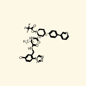 C[C@H](NC(=O)[C@H]1C[C@@H](c2ccc(-c3cccnc3)cc2)CCN1OC(=O)C(F)(F)F)C(=O)NCc1cc(Cl)ccc1-n1cnnn1